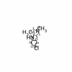 C[C@H]1CN(C)CC[C@H]1Nc1ccc(Cl)cc1